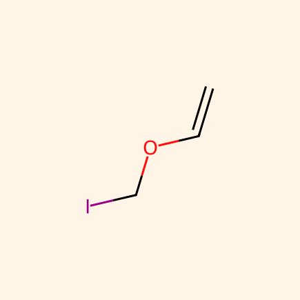 C=COCI